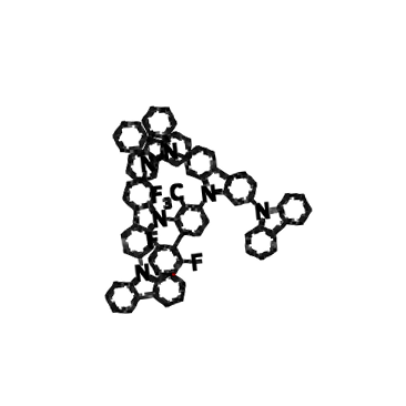 Fc1cccc(F)c1-c1ccc(-n2c3cc(-n4c5ccccc5c5ccccc54)ccc3c3ccc(-n4c5ccccc5c5ccccc54)cc32)c(C(F)(F)F)c1-n1c2cc(-n3c4ccccc4c4ccccc43)ccc2c2ccc(-n3c4ccccc4c4ccccc43)cc21